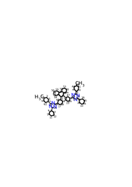 Cc1ccc(-c2nc(-c3ccccc3)nc(-c3cccc(-c4c(-c5cccc(-c6nc(-c7ccccc7)nc(-c7ccc(C)cc7)n6)c5)c5ccccc5c5ccccc45)c3)n2)cc1